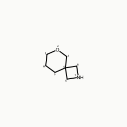 C1COCC2(C1)CNC2